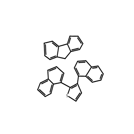 c1ccc2c(-c3ccsc3-c3cccc4ccccc34)cccc2c1.c1ccc2c(c1)Cc1ccccc1-2